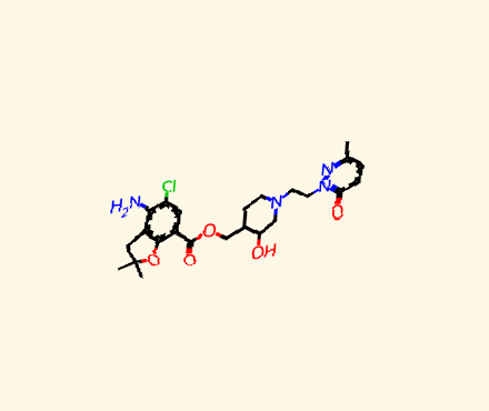 Cc1ccc(=O)n(CCN2CCC(COC(=O)c3cc(Cl)c(N)c4c3OC(C)(C)C4)C(O)C2)n1